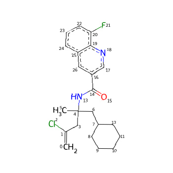 C=C(Cl)CC(C)(CC1CCCCC1)NC(=O)c1cnc2c(F)cccc2c1